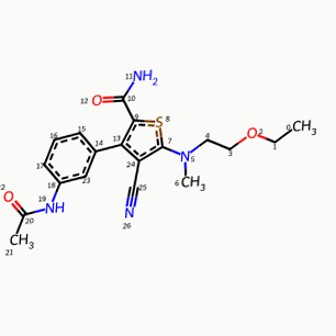 CCOCCN(C)c1sc(C(N)=O)c(-c2cccc(NC(C)=O)c2)c1C#N